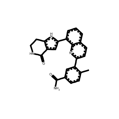 Cc1ccc(C(N)=O)cc1-c1ccc2cccc(-c3cc4c([nH]3)CCNC4=O)c2n1